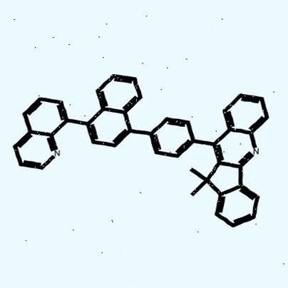 CC1(C)c2ccccc2-c2nc3ccccc3c(-c3ccc(-c4ccc(-c5cccc6cccnc56)c5ccccc45)cc3)c21